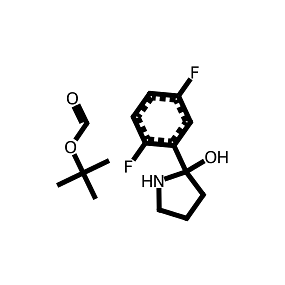 CC(C)(C)OC=O.OC1(c2cc(F)ccc2F)CCCN1